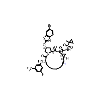 CC1(S(=O)(=O)NC(=O)[C@@]23C[C@H]2/C=C\CCCCC[C@H](Nc2cc(F)cc(C(F)(F)F)c2)C(=O)N2C[C@H](Oc4nc5ccc(Br)cc5s4)C[C@H]2C(=O)N3)CC1